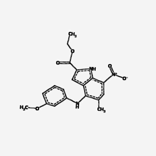 CCOC(=O)c1cc2c(Nc3cccc(OC)c3)c(C)cc([N+](=O)[O-])c2[nH]1